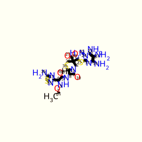 CCON=C(C(=O)NC1C(=O)N2CC(CSc3nc(N)c(N)c(N)[n+]3N)(C(=O)[O-])CS[C@H]12)c1nsc(N)n1